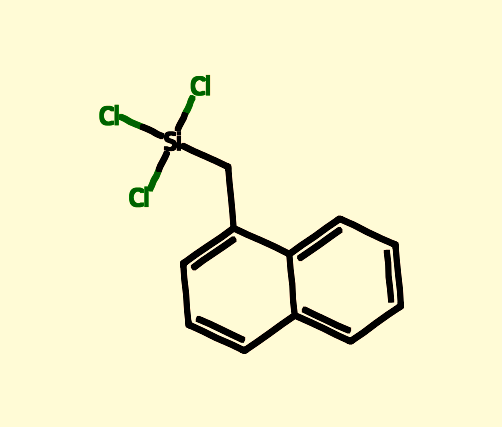 Cl[Si](Cl)(Cl)Cc1cccc2ccccc12